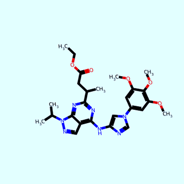 CCOC(=O)CC(C)c1nc(Nc2cn(-c3cc(OC)c(OC)c(OC)c3)cn2)c2cnn(C(C)C)c2n1